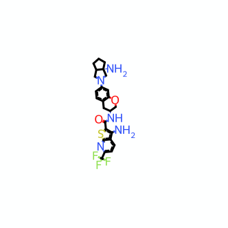 Nc1c(C(=O)N[C@H]2COc3cc(N4CC5CCC[C@@]5(N)C4)ccc3C2)sc2nc(C(F)(F)F)ccc12